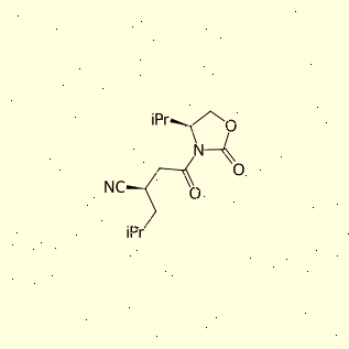 CC(C)C[C@@H](C#N)CC(=O)N1C(=O)OC[C@@H]1C(C)C